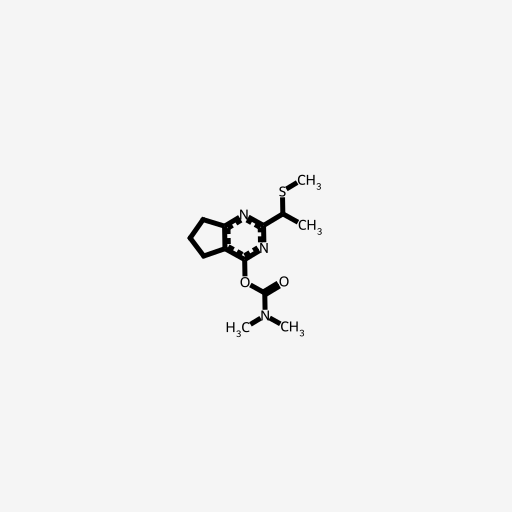 CSC(C)c1nc2c(c(OC(=O)N(C)C)n1)CCC2